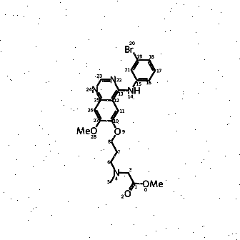 COC(=O)CN(C)CCCOc1cc2c(Nc3cccc(Br)c3)ncnc2cc1OC